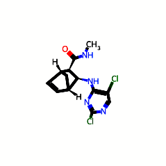 CNC(=O)[C@H]1[C@@H](Nc2nc(Cl)ncc2Cl)[C@@H]2C=C[C@H]1C2